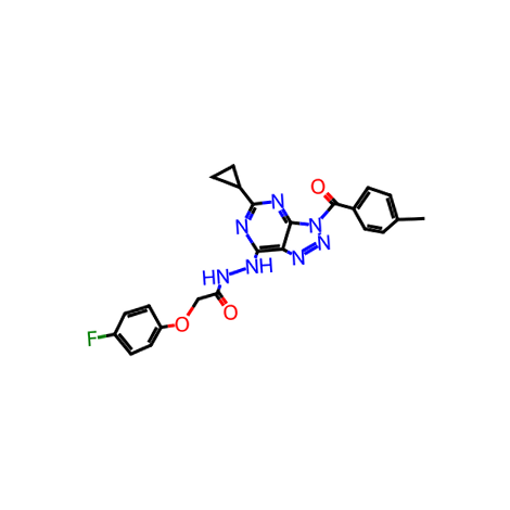 Cc1ccc(C(=O)n2nnc3c(NNC(=O)COc4ccc(F)cc4)nc(C4CC4)nc32)cc1